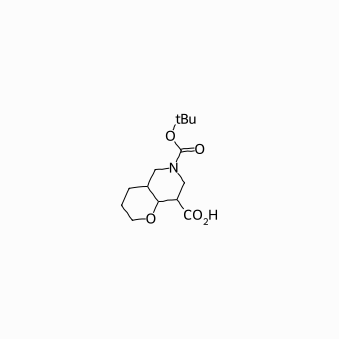 CC(C)(C)OC(=O)N1CC2CCCOC2C(C(=O)O)C1